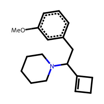 COc1cccc(CC(C2=CCC2)N2CCCCC2)c1